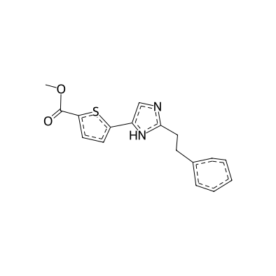 COC(=O)c1ccc(-c2cnc(CCc3ccccc3)[nH]2)s1